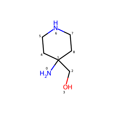 NC1(CO)CCNCC1